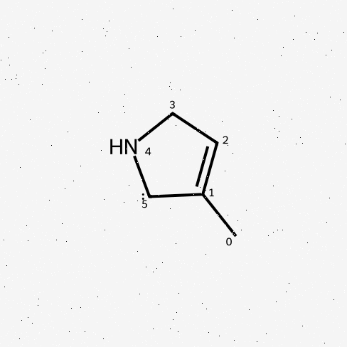 CC1=CCN[C]1